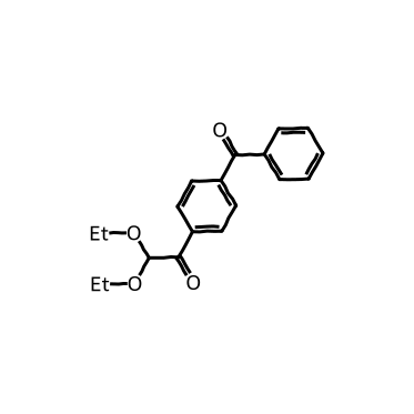 CCOC(OCC)C(=O)c1ccc(C(=O)c2ccccc2)cc1